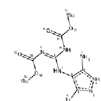 CCc1n[nH]c(N)c1NC(=NC(=O)OC(C)(C)C)NC(=O)OC(C)(C)C